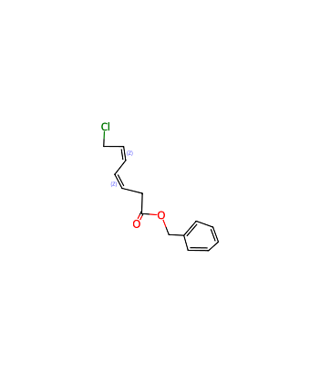 O=C(C/C=C\C=C/CCl)OCc1ccccc1